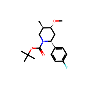 CO[C@@H]1C[C@H](c2ccc(F)cc2)N(C(=O)OC(C)(C)C)C[C@H]1C